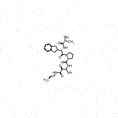 C=CCNC(=O)C(=O)C(CCC)NC(=O)[C@@H]1CCCN1C(=O)[C@@H](NC(=O)N(C)C(C)(C)C)C1Cc2ccccc2C1